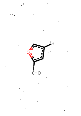 [2H]c1coc(C=O)c1